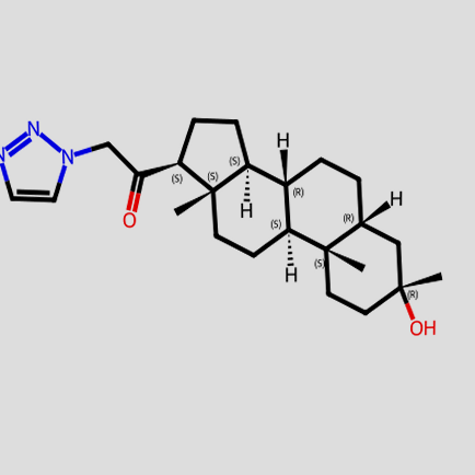 C[C@@]1(O)CC[C@@]2(C)[C@H](CC[C@@H]3[C@@H]2CC[C@]2(C)[C@@H](C(=O)Cn4ccnn4)CC[C@@H]32)C1